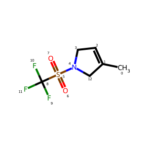 CC1=CCN(S(=O)(=O)C(F)(F)F)C1